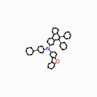 c1ccc(-c2ccc(N(c3ccc4c(c3)c(-c3ccccc3)c(-c3ccccc3)c3ccccc34)c3ccc4oc5ccccc5c4c3)cc2)cc1